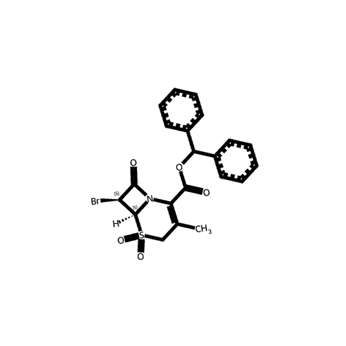 CC1=C(C(=O)OC(c2ccccc2)c2ccccc2)N2C(=O)[C@H](Br)[C@@H]2S(=O)(=O)C1